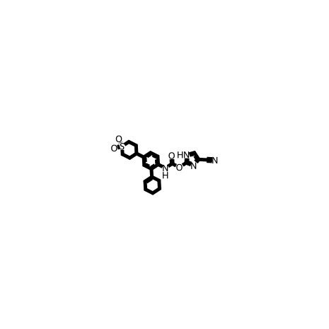 N#Cc1c[nH]c(OC(=O)Nc2ccc(C3CCS(=O)(=O)CC3)cc2C2=CCCCC2)n1